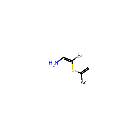 C=C(S/C(Br)=C\N)C(C)=O